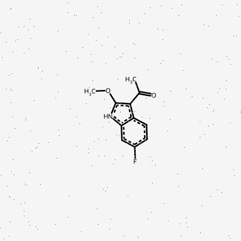 COc1[nH]c2cc(F)ccc2c1C(C)=O